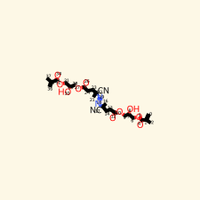 C=C(C)C(=O)OCC(O)COC(=O)CCC(C)(C#N)/N=N/C(C)(C#N)CCC(=O)OCC(O)COC(=O)C(=C)C